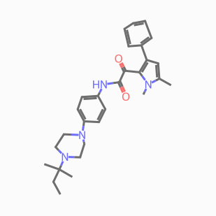 CCC(C)(C)N1CCN(c2ccc(NC(=O)C(=O)c3c(-c4ccccc4)cc(C)n3C)cc2)CC1